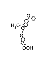 CCCc1c(OCCCOc2ccc3c(ccn3CC(=O)O)c2)ccc2cc(C(=O)c3ccccc3)ccc12